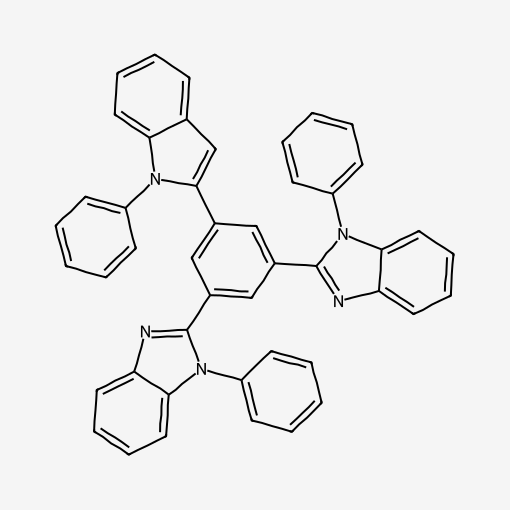 c1ccc(-n2c(-c3cc(-c4nc5ccccc5n4-c4ccccc4)cc(-c4nc5ccccc5n4-c4ccccc4)c3)cc3ccccc32)cc1